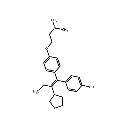 CCC(=C(c1ccc(O)cc1)c1ccc(OCCN(C)C)cc1)C1CCCC1